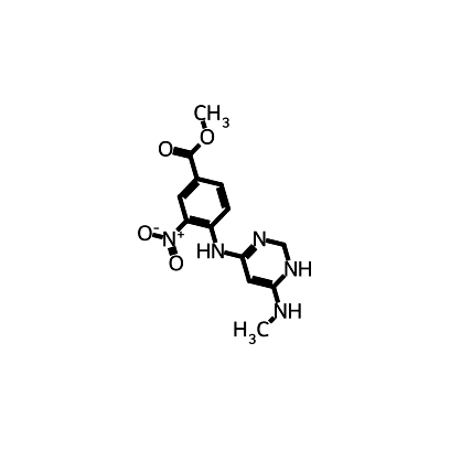 CNC1=CC(Nc2ccc(C(=O)OC)cc2[N+](=O)[O-])=NCN1